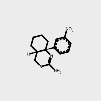 NC1=N[C@@]2(c3cccc([N+](=O)[O-])c3)CCCC[C@H]2CS1